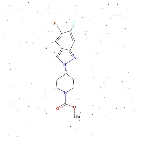 CC(C)(C)OC(=O)N1CCC(n2cc3cc(Br)c(F)cc3n2)CC1